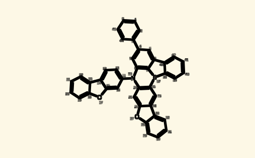 c1ccc(-c2cc3c4c(c2)N(c2ccc5c(c2)oc2ccccc25)c2cc5oc6ccccc6c5cc2B4c2ccccc2-3)cc1